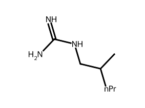 CCCC(C)CNC(=N)N